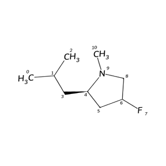 CC(C)C[C@@H]1CC(F)CN1C